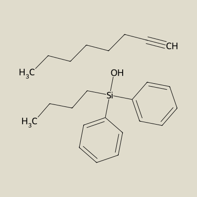 C#CCCCCCC.CCCC[Si](O)(c1ccccc1)c1ccccc1